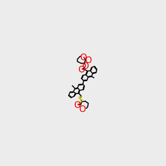 Cc1c2ccccc2c(CSC2CCCCOC2=O)c2ccc(-c3ccc4c(C(=O)OC5CCCCOC5=O)c5ccccc5c(C)c4c3)cc12